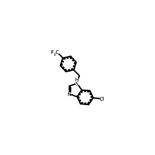 FC(F)(F)c1ccc(C[SH]2C=Nc3ccc(Cl)cc32)cc1